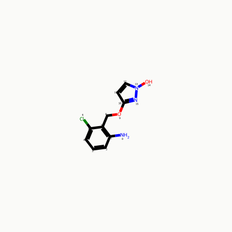 Nc1cccc(Cl)c1COc1ccn(O)n1